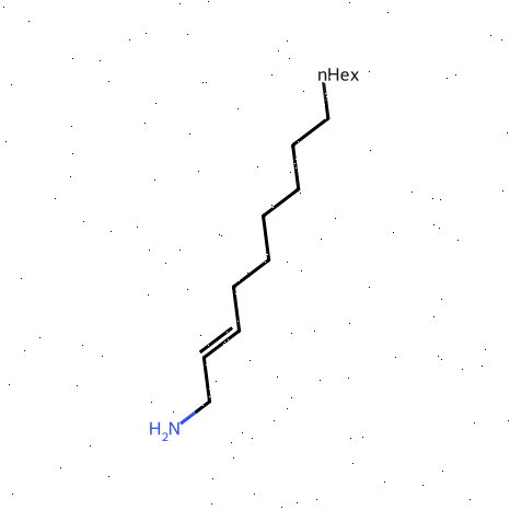 CCCCCCCCCCCCC=CCN